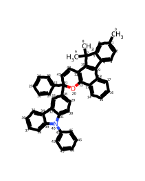 Cc1ccc2c(c1)C(C)(C)c1c3c(c4ccccc4c1-2)OC(c1ccccc1)(c1ccc2c(c1)c1ccccc1n2-c1ccccc1)C=C3